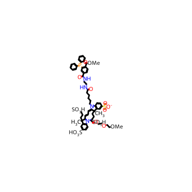 COCCOCCOCC[N+]1=C(/C=C/C=C2/N(CCCCCC(=O)NCCNC(=O)c3ccc(C(=O)OC)c(P(c4ccccc4)c4ccccc4)c3)c3ccc(S(=O)(=O)[O-])cc3C2(C)CCCS(=O)(=O)O)C(C)(CCCS(=O)(=O)O)c2cc(S(=O)(=O)O)ccc21